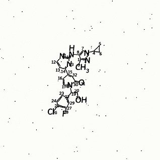 Cc1nn(C2CC2)cc1Nc1nccc(-c2ccn(C(CO)c3ccc(Cl)c(F)c3)c(=O)c2)n1